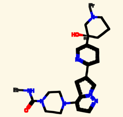 CCNC(=O)N1CCN(c2ccnn3cc(-c4ccc([C@]5(O)CCCN(C(C)C)C5)cn4)cc23)CC1